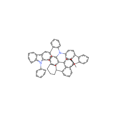 CC1(C)c2ccccc2-c2ccc(N(c3ccccc3-c3ccc4c(c3)c3ccccc3n4-c3ccccc3)c3ccccc3-c3cccc4cccc(C5CCCCC5)c34)cc21